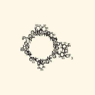 CC[C@H](C)[C@@H]1NC(=O)[C@H](CC(C)C)N(C)C(=O)C[C@@H](C(=O)N2CCCCC2)N(C)C(=O)[C@H](C2CCCCC2)N(C)C(=O)C2(CCCC2)NC(=O)[C@H](COCc2cncc(F)c2)N(C)C(=O)[C@H](CCc2ccc(C(F)(F)F)c(Cl)c2)NC(=O)CN(C)C(=O)[C@H](CC2CCCCC2)N(C)C(=O)CN(C)C(=O)CN(C)C1=O